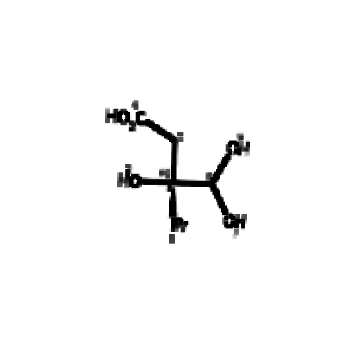 CC(C)[C@@](O)(CC(=O)O)C(O)O